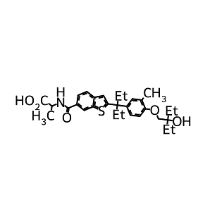 CCC(O)(CC)COc1ccc(C(CC)(CC)c2cc3ccc(C(=O)NC(C)C(=O)O)cc3s2)cc1C